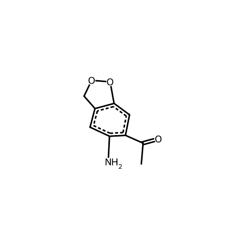 CC(=O)c1cc2c(cc1N)COO2